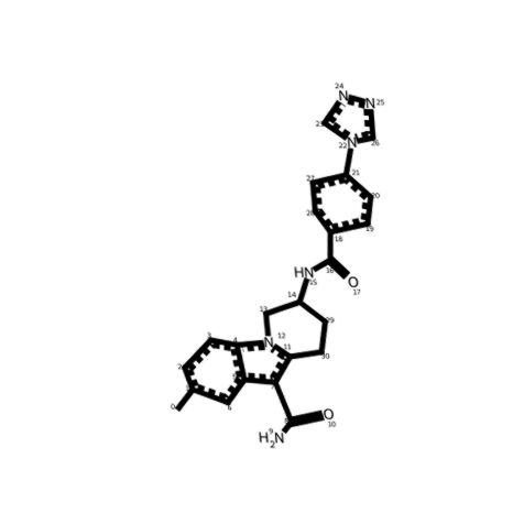 Cc1ccc2c(c1)c(C(N)=O)c1n2CC(NC(=O)c2ccc(-n3cnnc3)cc2)CC1